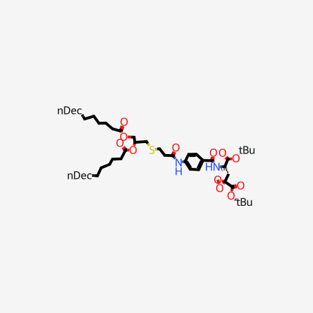 CCCCCCCCCCCCCCCC(=O)OCC(CSCCC(=O)Nc1ccc(C(=O)N[C@@H](CC2(C(=O)OC(C)(C)C)OO2)C(=O)OC(C)(C)C)cc1)OC(=O)CCCCCCCCCCCCCCC